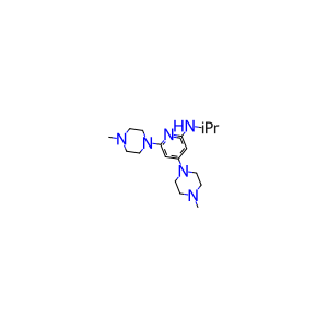 CC(C)Nc1cc(N2CCN(C)CC2)cc(N2CCN(C)CC2)n1